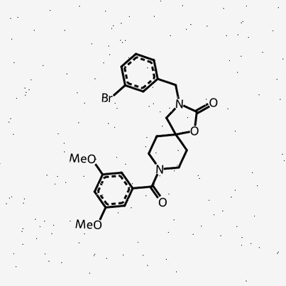 COc1cc(OC)cc(C(=O)N2CCC3(CC2)CN(Cc2cccc(Br)c2)C(=O)O3)c1